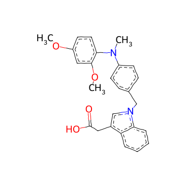 COc1ccc(N(C)c2ccc(Cn3cc(CC(=O)O)c4ccccc43)cc2)c(OC)c1